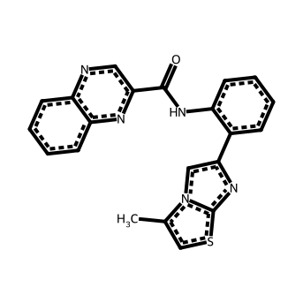 Cc1csc2nc(-c3ccccc3NC(=O)c3cnc4ccccc4n3)cn12